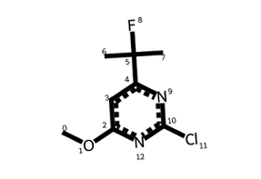 COc1cc(C(C)(C)F)nc(Cl)n1